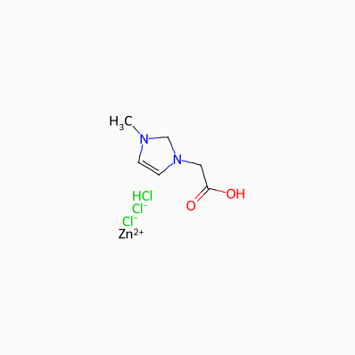 CN1C=CN(CC(=O)O)C1.Cl.[Cl-].[Cl-].[Zn+2]